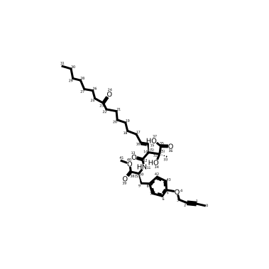 CC#CCOc1ccc(C[C@H](NC(=O)[C@@H](C=CCCCCCCC(=O)CCCCCCC)[C@](C)(O)C(=O)O)C(=O)OC)cc1